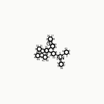 c1ccc(-c2cc(-c3ccc(-c4cc5c(cc4-c4cccc6c4oc4ccccc46)-c4ccccc4C54c5ccccc5-c5ccccc54)cc3)nc(-c3ccccc3)n2)cc1